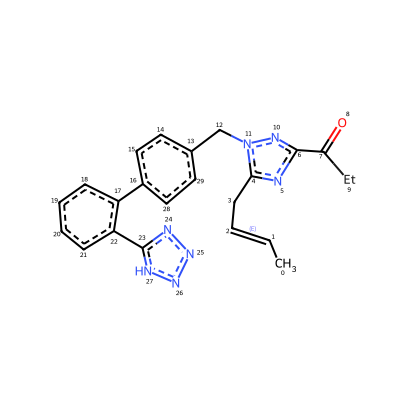 C/C=C/Cc1nc(C(=O)CC)nn1Cc1ccc(-c2ccccc2-c2nnn[nH]2)cc1